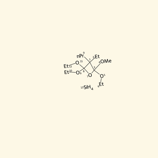 CCCC1(CC)C(OC)(OCC)OC1(OCC)OCC.[SiH4]